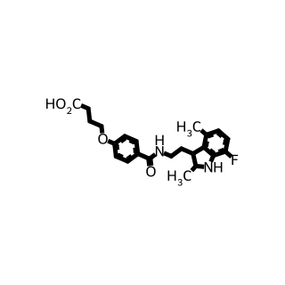 Cc1ccc(F)c2c1C(CCNC(=O)c1ccc(OCCCC(=O)O)cc1)C(C)N2